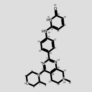 CC1COCCN1c1nc(-c2ccc(Nc3cccc(=O)[nH]3)cc2)nc2c1CCN(C)C2